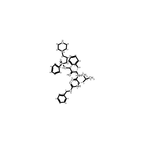 CC(C)C[C@H](NC(=O)OCc1ccccc1)C(=O)N[C@@H](Cc1ccccc1)C(=O)COP(=O)(CCCN1CCOCC1)c1ccccc1